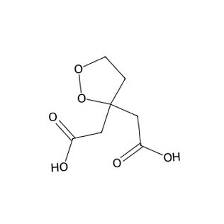 O=C(O)CC1(CC(=O)O)CCOO1